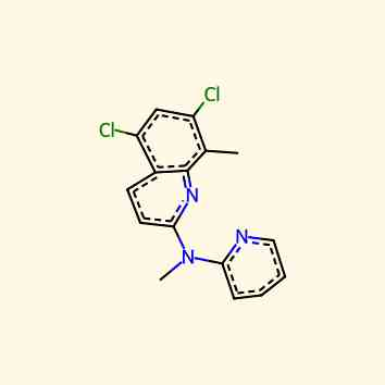 Cc1c(Cl)cc(Cl)c2ccc(N(C)c3ccccn3)nc12